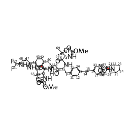 COC(=O)NC(C(=O)N[C@@H](Cc1ccc(C#Cc2cnc(N3CC4CCC(C3)N4C3COC3)nc2)cc1)[C@@H](O)CN(Cc1ccc(C(=N)/C=C\NC(F)F)cc1)NC(=O)[C@@H](NC(=O)OC)C(C)(C)C(F)(F)F)C(C)(C)C(F)(F)F